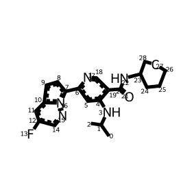 CC(C)Nc1cc(-c2ccc3cc(F)cnn23)ncc1C(=O)NC1CCCCC1